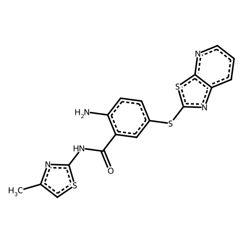 Cc1csc(NC(=O)c2cc(Sc3nc4cccnc4s3)ccc2N)n1